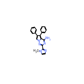 Cn1ccnc1-c1nc(N)c2c(-c3ccccc3)c(-c3ccccc3)cn2n1